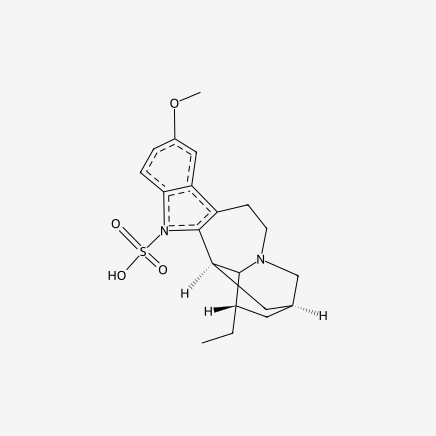 CC[C@H]1C[C@H]2C[C@H]3c4c(c5cc(OC)ccc5n4S(=O)(=O)O)CCN(C2)C13